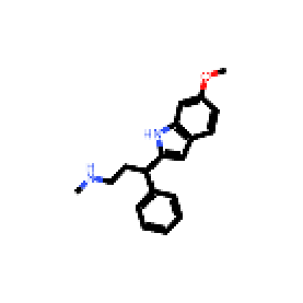 CNCCC(c1ccccc1)c1cc2ccc(OC)cc2[nH]1